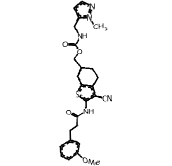 COc1cccc(CCC(=O)Nc2sc3c(c2C#N)CCC(COC(=O)NCc2ccnn2C)C3)c1